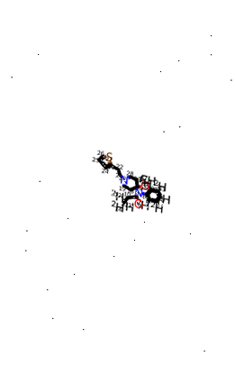 [2H]c1c([2H])c([2H])c(N(C(=O)CC([2H])([2H])[2H])C2(OC)CCN(CCc3cccs3)CC2)c([2H])c1[2H]